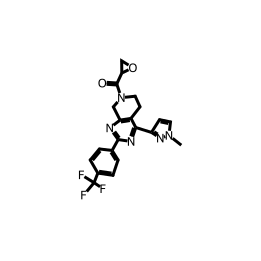 Cn1ccc(-c2nc(-c3ccc(C(F)(F)F)cc3)nc3c2CCN(C(=O)C2CO2)C3)n1